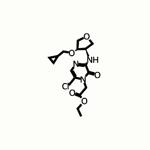 CCOC(=O)Cn1c(Cl)cnc(N[C@@H]2COC[C@H]2OCC2CC2)c1=O